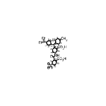 C=c1ccc2c(c1)Oc1cc(N(CC)CC)ccc1C=2c1ccc(NC(=O)c2cc(S(=O)(=O)F)ccc2C(=O)O)cc1C(=O)O